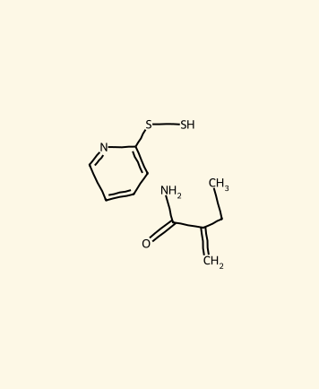 C=C(CC)C(N)=O.SSc1ccccn1